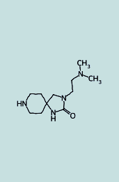 CN(C)CCN1CC2(CCNCC2)NC1=O